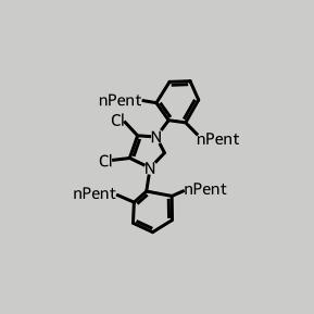 CCCCCc1cccc(CCCCC)c1N1CN(c2c(CCCCC)cccc2CCCCC)C(Cl)=C1Cl